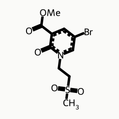 COC(=O)c1cc(Br)cn(CCS(C)(=O)=O)c1=O